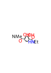 CCNC(=O)c1ccc(C(=O)NC)c(O)c1O